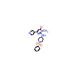 Cn1c(NC2CCN(S(=O)(=O)c3ccccc3)CC2)nc(-c2ccncc2)cc1=O